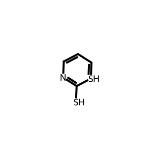 SC1=NC=CC=[SH]1